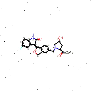 COC(=O)C1CC(O)CN1Cc1ccc2c(c1)CO/C2=C1/C(=O)Nc2ccc(F)cc21